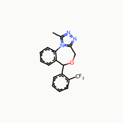 Cc1nnc2n1-c1ccccc1C(c1ccccc1C(F)(F)F)OC2